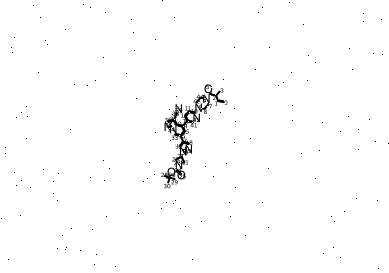 C=CC(C)C(=O)N1CCN(c2ccc(-c3cc(-c4cnn(C5CN(C(=O)OC(C)(C)C)C5)c4)cn4ncc(C#N)c34)cn2)CC1